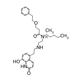 CCCC[C@@H](C)N(CCNCCc1ccc(O)c2[nH]c(=O)ccc12)C(=O)CCOCCc1ccccc1